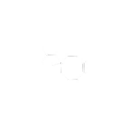 CN(C)CC1(C)CC/C=C\CCC1